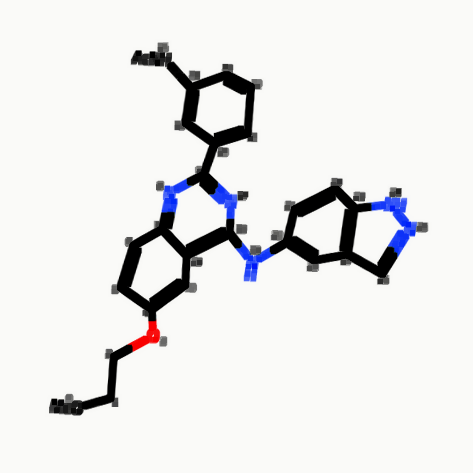 COCCOc1ccc2nc(-c3cccc(NC(C)=O)c3)nc(Nc3ccc4[nH]ncc4c3)c2c1